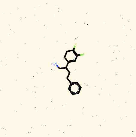 NCC(CCc1ccccc1)C1=CC(F)=C(F)CC1